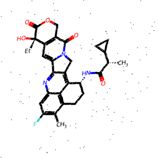 CC[C@@]1(O)C(=O)OCc2c1cc1n(c2=O)Cc2c-1nc1cc(F)c(C)c3c1c2[C@H](NC(=O)[C@@H](C)C1CC1)CC3